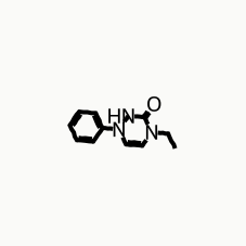 CCN1C=CN(c2ccccc2)NC1=O